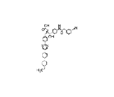 CC[C@H]1CC[C@H](C2CC=C(c3cnc(-c4ccc(CN(CC(=O)O)C(O)c5ccc(NC(=O)Cc6cccc(C#N)c6)cc5)cc4)nc3)CC2)CC1